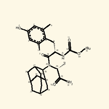 Cc1cc(O)cc(C)c1C[C@H](NC(=O)OC(C)(C)C)C(=O)N(C1C2CC3CC(C2)CC1C3)[C@H](C)C(N)=O